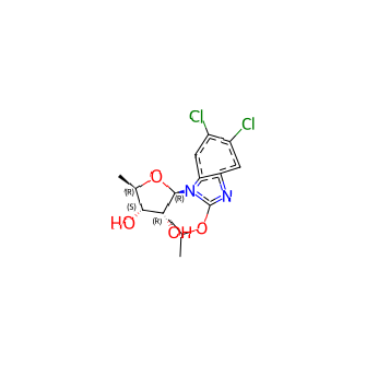 CC(C)Oc1nc2cc(Cl)c(Cl)cc2n1[C@@H]1O[C@H](C)[C@@H](O)[C@H]1O